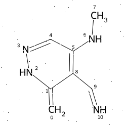 C=C1NN=CC(NC)=C1C=N